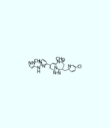 CN1C(=O)CC(Cc2ccc(Cl)cn2)c2nnc3cc(-c4ccnc(Nc5ccnn5C)n4)cc1n23